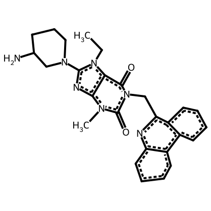 CCn1c(N2CCCC(N)C2)nc2c1c(=O)n(Cc1nc3ccccc3c3ccccc13)c(=O)n2C